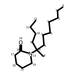 CCCCCCCC(C)(CCCC)N1CCCCC1=O